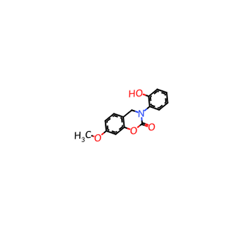 COc1ccc2c(c1)OC(=O)N(c1ccccc1O)C2